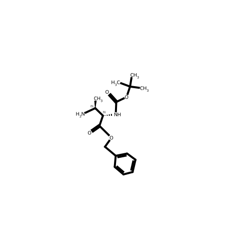 C[C@H](N)[C@H](NC(=O)OC(C)(C)C)C(=O)OCc1ccccc1